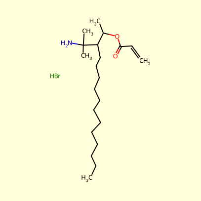 Br.C=CC(=O)OC(C)C(CCCCCCCCCCCC)C(C)(C)N